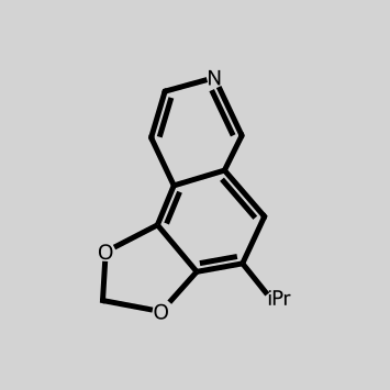 CC(C)c1cc2cnccc2c2c1OCO2